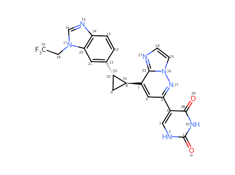 O=c1[nH]cc(-c2cc([C@H]3C[C@@H]3c3ccc4ncn(CC(F)(F)F)c4c3)c3nccn3n2)c(=O)[nH]1